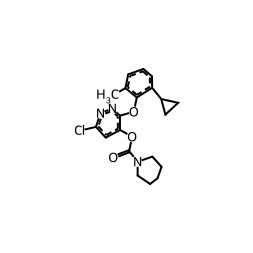 Cc1cccc(C2CC2)c1Oc1nnc(Cl)cc1OC(=O)N1CCCCC1